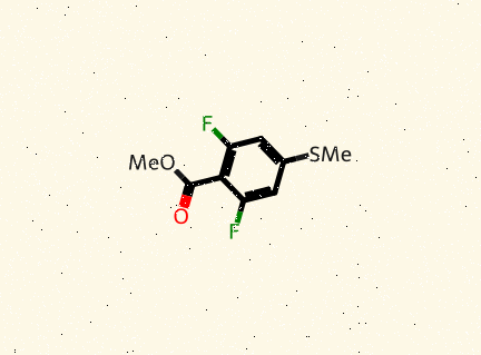 COC(=O)c1c(F)cc(SC)cc1F